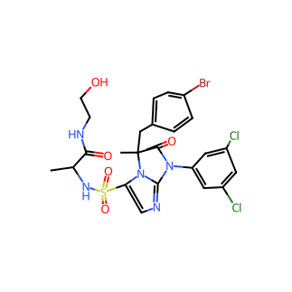 CC(NS(=O)(=O)c1cnc2n1C(C)(Cc1ccc(Br)cc1)C(=O)N2c1cc(Cl)cc(Cl)c1)C(=O)NCCO